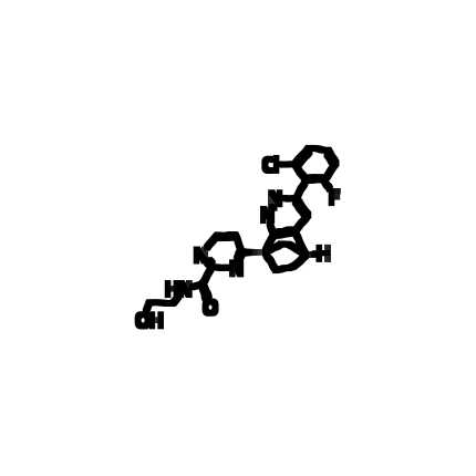 O=C(NCCO)c1nccc([C@]23CC[C@H](CC2)c2cc(-c4c(F)cccc4Cl)nnc23)n1